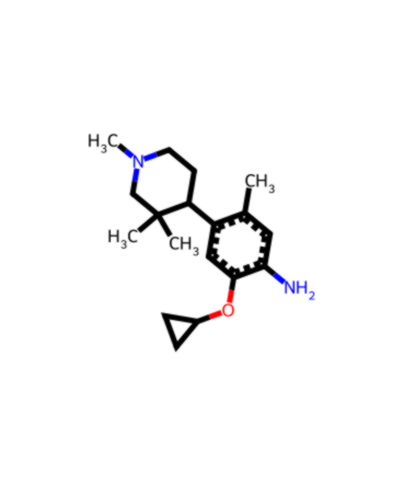 Cc1cc(N)c(OC2CC2)cc1C1CCN(C)CC1(C)C